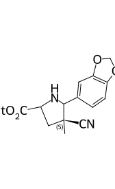 CCOC(=O)C1C[C@](C)(C#N)C(c2ccc3c(c2)OCO3)N1